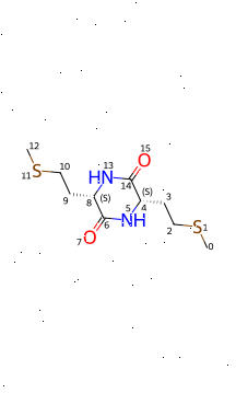 CSCC[C@@H]1NC(=O)[C@H](CCSC)NC1=O